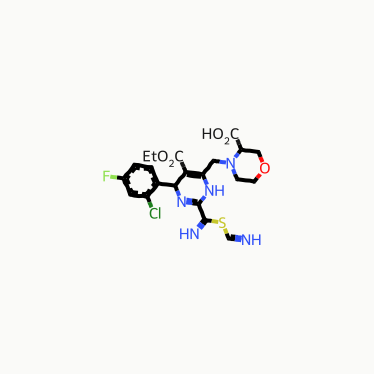 CCOC(=O)C1=C(CN2CCOCC2C(=O)O)NC(C(=N)SC=N)=NC1c1ccc(F)cc1Cl